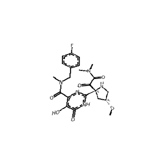 CO[C@H]1CN[C@](C(=O)C(=O)N(C)C)(c2nc(C(=O)N(C)Cc3ccc(F)cc3)c(O)c(=O)[nH]2)C1